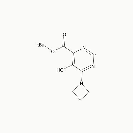 CC(C)(C)OC(=O)c1n[c]nc(N2CCC2)c1O